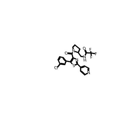 O=C(c1nc(-c2ccncc2)sc1-c1cccc(Cl)c1)N1CCCC1CNC(=O)C(F)(F)F